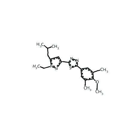 CCn1nc(-c2nnc(-c3cc(C)c(OC)c(C)c3)s2)cc1CC(C)C